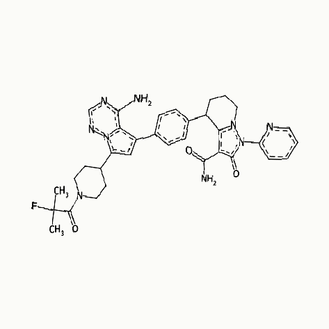 CC(C)(F)C(=O)N1CCC(c2cc(-c3ccc(C4CCCn5c4c(C(N)=O)c(=O)n5-c4ccccn4)cc3)c3c(N)ncnn23)CC1